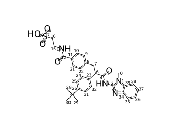 Cn1c(NC(=O)C(Cc2ccc(C(=O)NCCS(=O)(=O)O)cc2)c2ccc(C(C)(C)C)cc2)nc2ccccc21